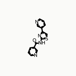 O=C(Nc1nc(-c2cccnc2)cs1)c1cccnc1